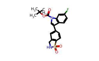 CC(C)(C)OC(=O)n1cc(-c2ccc3c(c2)CNS3(=O)=O)c2ccc(F)cc21